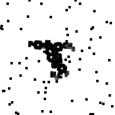 Cc1ccnc(C(=O)C23Cc4cnn(-c5ccc(F)cc5)c4C=C2CCN(S(=O)(=O)c2ccc(F)c(C)c2)C3)c1